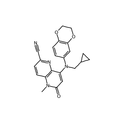 Cn1c(=O)cc(N(CC2CC2)c2ccc3c(c2)OCCO3)c2nc(C#N)ccc21